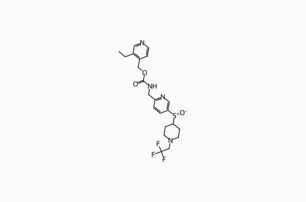 CCc1cnccc1COC(=O)NCc1ccc([S+]([O-])C2CCN(CC(F)(F)F)CC2)cn1